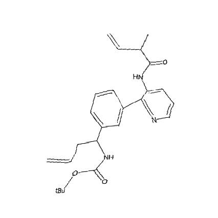 C=CCC(NC(=O)OC(C)(C)C)c1cccc(-c2ncccc2NC(=O)C(C)C=C)c1